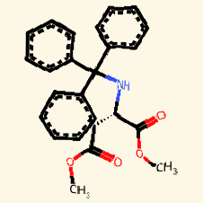 COC(=O)C[C@H](NC(c1ccccc1)(c1ccccc1)c1ccccc1)C(=O)OC